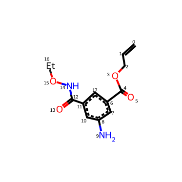 C=CCOC(=O)c1cc(N)cc(C(=O)NOCC)c1